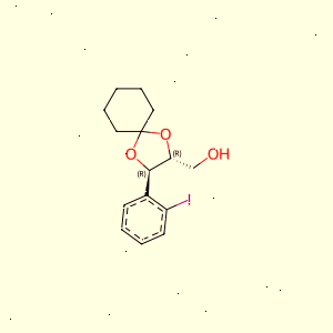 OC[C@H]1OC2(CCCCC2)O[C@@H]1c1ccccc1I